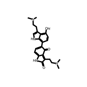 CN(C)CCC1=C2C(=O)C(c3ccc(O)c4c(CCN(C)C)c[nH]c34)=CC=C2NC1=O